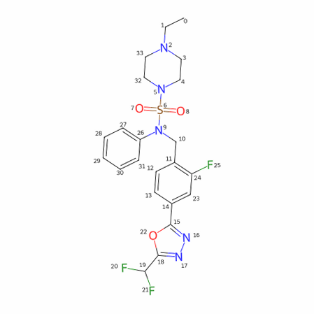 CCN1CCN(S(=O)(=O)N(Cc2ccc(-c3nnc(C(F)F)o3)cc2F)c2ccccc2)CC1